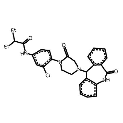 CCC(CC)C(=O)Nc1ccc(N2CCN(C3c4ccccc4NC(=O)c4ccccc43)CC2=O)c(Cl)c1